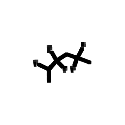 CC(F)C(F)(F)CC(C)(F)F